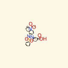 COC(=O)N1c2ccc3c(nc(S(=O)(=O)c4ccccc4)n3[C@@H]3CCC[C@@H](C(=O)O)C3)c2CC[C@@H]1C